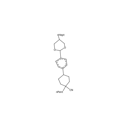 CCCCCCCC1COC(c2ccc(C3CCC(C#N)(CCCCC)CC3)cc2)OC1